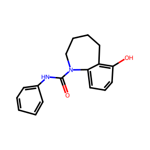 O=C(Nc1ccccc1)N1CCCCc2c(O)cccc21